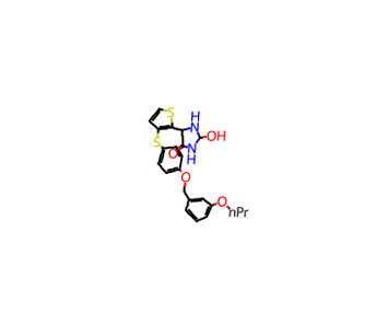 CCCOc1cccc(COc2ccc(Sc3ccsc3C3NC(O)NC3=O)cc2)c1